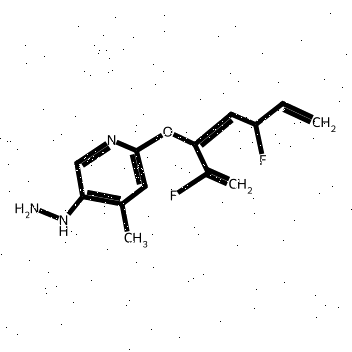 C=CC(F)C=C(Oc1cc(C)c(NN)cn1)C(=C)F